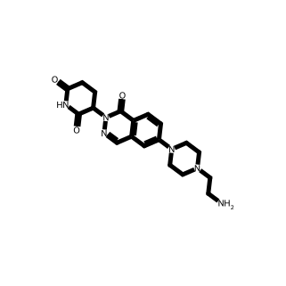 NCCN1CCN(c2ccc3c(=O)n(C4CCC(=O)NC4=O)ncc3c2)CC1